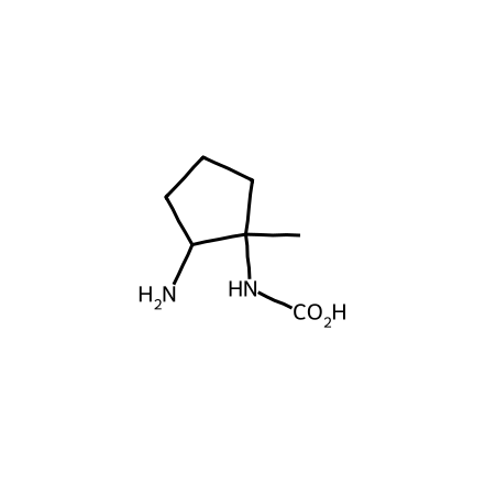 CC1(NC(=O)O)CCCC1N